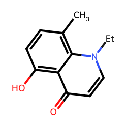 CCn1ccc(=O)c2c(O)ccc(C)c21